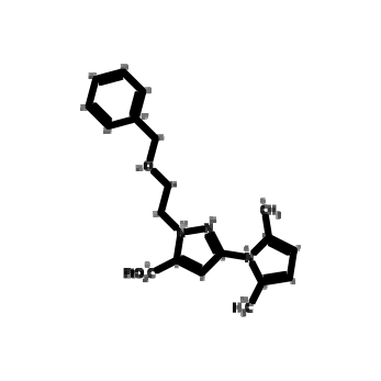 CCOC(=O)c1cc(-n2c(C)ccc2C)nn1CCOCc1ccccc1